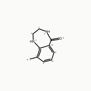 O=C1NCCNc2c(I)cccc21